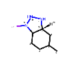 CC1CCC2[C@@H](C1)NNN2I